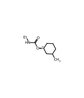 CCNC(=O)O[C@H]1CCCC(C)C1